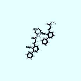 C1CNCCN1.N#Cc1c(C=CC(N)=O)cccc1-c1ccccc1.N#Cc1c(C=CC(N)=O)cccc1-c1ccccc1